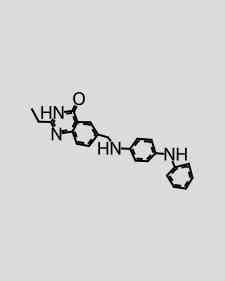 CCc1nc2ccc(CNc3ccc(Nc4ccccc4)cc3)cc2c(=O)[nH]1